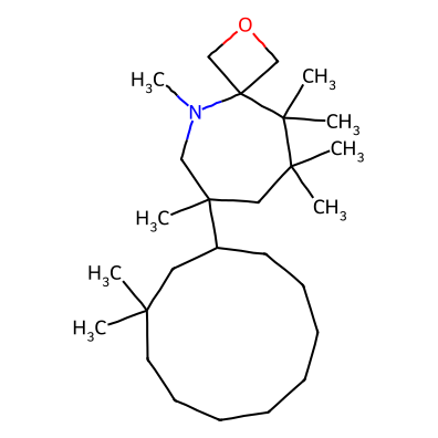 CN1CC(C)(C2CCCCCCCCC(C)(C)C2)CC(C)(C)C(C)(C)C12COC2